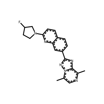 Cc1ncc(C)n2nc(-c3ccc4ccc(N5CCC(F)C5)nc4c3)nc12